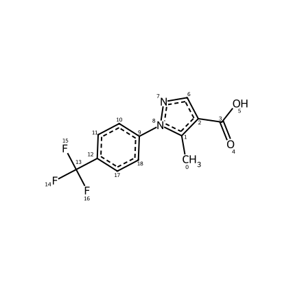 Cc1c(C(=O)O)cnn1-c1ccc(C(F)(F)F)cc1